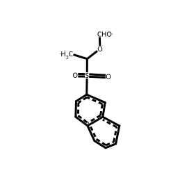 [CH2]C(O[C]=O)S(=O)(=O)c1ccc2ccccc2c1